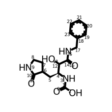 O=C(O)N[C@@H](CC1CCNC1=O)C(O)C(=O)NCc1ccccc1